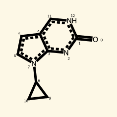 O=c1nc2c(ccn2C2CC2)c[nH]1